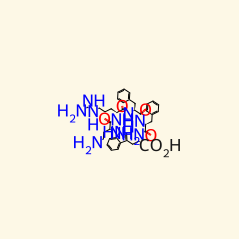 N=C(N)NCCC[C@H](NC(=O)[C@H](N)CCN)C(=O)N[C@@H](Cc1ccccc1)C(=O)N[C@@H](Cc1ccccc1)C(=O)N[C@H](Cc1c[nH]c2ccccc12)C(=O)O